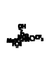 CNc1nc(OCCCO)c(C(=O)N[C@H]2CC[C@H](C(F)(F)F)CC2)cc1N